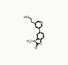 Cn1c(=O)oc2ccc(-c3cncc(CCO)c3)cc21